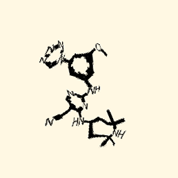 COc1cc(Nc2ncc(C#N)c(NC3CC(C)(C)NC(C)(C)C3)n2)cc(-n2cnnn2)c1